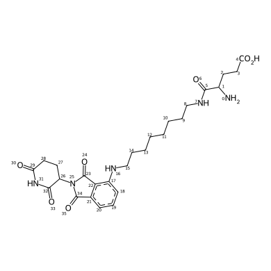 NC(CCC(=O)O)C(=O)NCCCCCCCCNc1cccc2c1C(=O)N(C1CCC(=O)NC1=O)C2=O